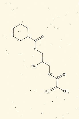 C=C(C)C(=O)OCC(O)COC(=O)C1CCCCC1